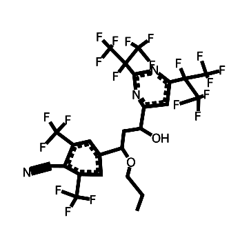 CCCOC(CC(O)c1cc(C(F)(C(F)(F)F)C(F)(F)F)nc(C(F)(C(F)(F)F)C(F)(F)F)n1)c1cc(C(F)(F)F)c(C#N)c(C(F)(F)F)c1